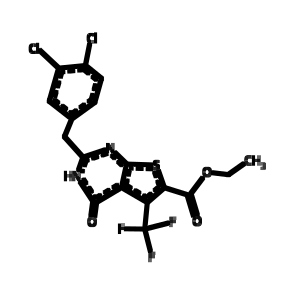 CCOC(=O)c1sc2nc(Cc3ccc(Cl)c(Cl)c3)[nH]c(=O)c2c1C(F)(F)F